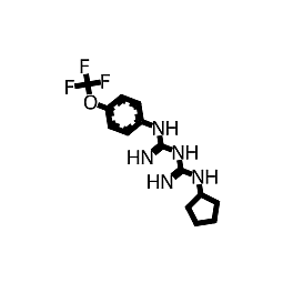 N=C(NC(=N)NC1CCCC1)Nc1ccc(OC(F)(F)F)cc1